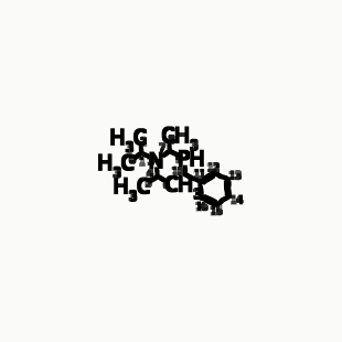 CC(C)N(C(C)C)C(C)PCc1ccccc1